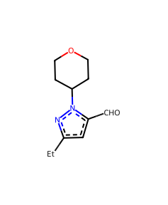 CCc1cc(C=O)n(C2CCOCC2)n1